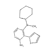 CN(c1[c]ccc(N)c1-c1cccs1)C1CCCCC1